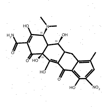 Cc1cc([N+](=O)[O-])c(O)c2c1CC1C(=C(O)[C@]3(O)C(=O)C(C(N)=O)=C(O)[C@@H](N(C)C)C3[C@H]1O)C2=O